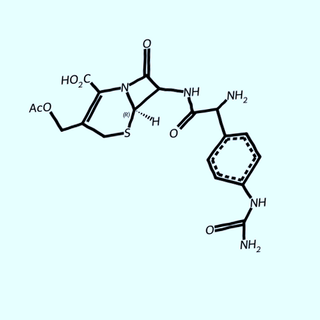 CC(=O)OCC1=C(C(=O)O)N2C(=O)C(NC(=O)C(N)c3ccc(NC(N)=O)cc3)[C@H]2SC1